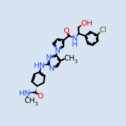 CNC(=O)[C@@H]1C=CC(Nc2ncc(C)c(-n3ccc(C(=O)NC(CO)c4cccc(Cl)c4)c3)n2)=CC1